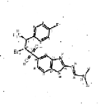 CCN([C@H](c1ccc(F)cc1)C(F)(F)F)S(=O)(=O)c1ccc2sc(N=CN(C)C)nc2c1